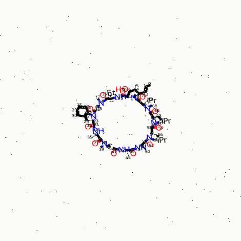 C/C=C/C[C@@H](C)[C@@H](O)[C@H]1C(=O)N[C@@H](CC)C(=O)N(C)CC(=O)N(C)[C@@H](Cc2ccccc2)C(=O)N[C@@H](C)C(=O)N(C)CC(=O)N[C@@H](C)C(=O)N[C@H](C)C(=O)N(C)[C@@H](CC(C)C)C(=O)N(C)[C@H](CC(C)C)C(=O)N(C)[C@@H](C(C)C)C(=O)N1C